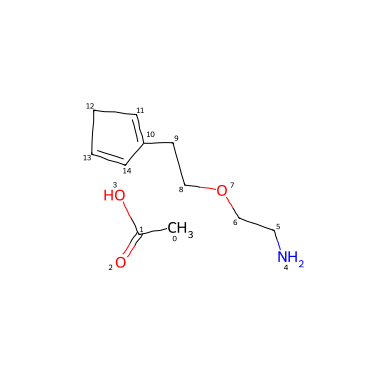 CC(=O)O.NCCOCCC1=CCC=C1